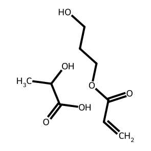 C=CC(=O)OCCCO.CC(O)C(=O)O